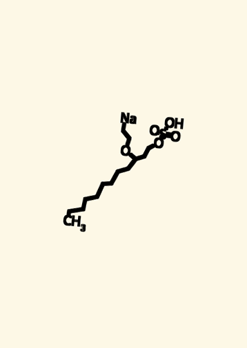 CCCCCCCCCC(CCOS(=O)(=O)O)OC[CH2][Na]